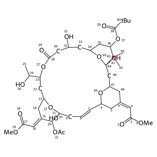 COC(=O)/C=C1\CC2/C=C/CC3(O)OC(C/C(=C\C(=O)OC)C3OC(C)=O)CC(C(C)O)OC(=O)CC(O)CC3CC(OC(=O)C(C)(C)C)C(C)(C)C(O)(CC(C1)O2)O3